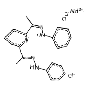 CC(=NNc1ccccc1)c1cccc(C(C)=NNc2ccccc2)n1.[Cl-].[Cl-].[Cl-].[Nd+3]